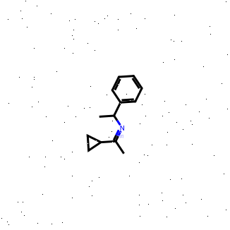 C/C(=N/C(C)c1ccccc1)C1CC1